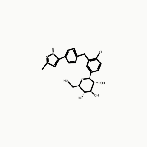 Cc1cc(-c2ccc(Cc3cc([C@@H]4O[C@H](CO)[C@@H](O)[C@H](O)[C@H]4O)ccc3Cl)cc2)n(C)n1